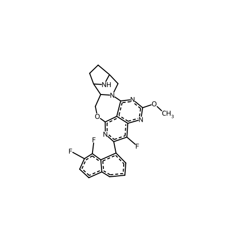 COc1nc2c3c(nc(-c4cccc5ccc(F)c(F)c45)c(F)c3n1)OCC1C3CCC(CN21)N3